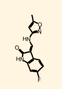 Cc1cc(NC=C2C(=O)Nc3cc(F)ccc32)no1